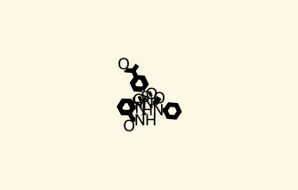 CC(C=O)c1ccc(S(=O)(=O)NC(=O)NC2CCCCC2)cc1.O=c1[nH]cnc2ccccc12